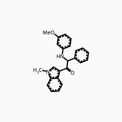 COc1cccc(NC(C(=O)c2cn(C)c3ccccc23)c2ccccc2)c1